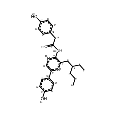 CCCC(CC)Cc1nc(-c2ccc(O)cc2)cnc1NC(=O)Cc1ccc(O)cc1